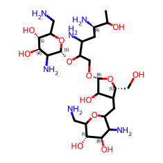 CC(O)[C@H](N)CC(N)C(CO[C@@H]1O[C@H](CO)C(CC2OC(CN)[C@@H](O)[C@H](O)C2N)C1O)O[C@H]1OC(CN)[C@@H](O)[C@H](O)C1N